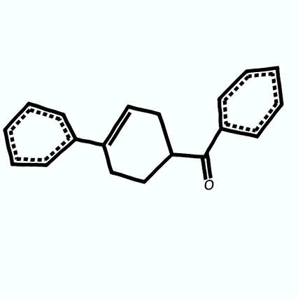 O=C(c1ccccc1)C1CC=C(c2ccccc2)CC1